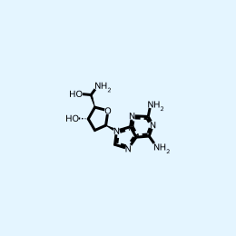 Nc1nc(N)c2ncn([C@H]3C[C@H](O)[C@@H](C(N)O)O3)c2n1